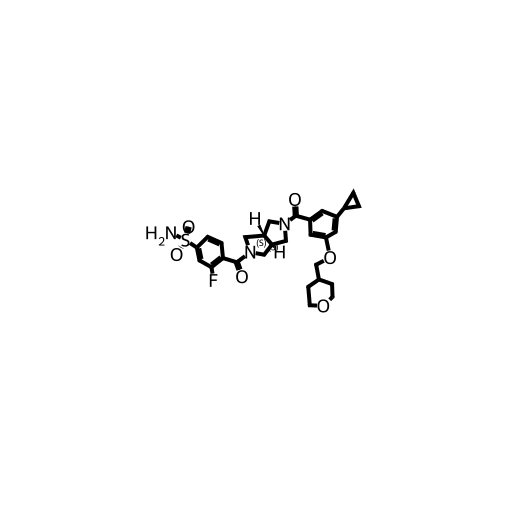 NS(=O)(=O)c1ccc(C(=O)N2C[C@@H]3CN(C(=O)c4cc(OCC5CCOCC5)cc(C5CC5)c4)C[C@H]3C2)c(F)c1